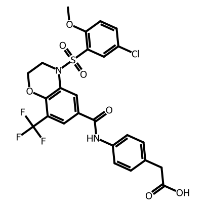 COc1ccc(Cl)cc1S(=O)(=O)N1CCOc2c1cc(C(=O)Nc1ccc(CC(=O)O)cc1)cc2C(F)(F)F